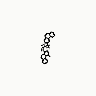 Cc1cc2c(c3ccc4ccccc4c13)N=CC1(O2)N(C)c2cc3ccc4ccccc4c3cc2C1(C)C